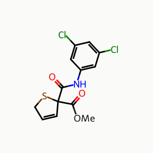 COC(=O)C1(C(=O)Nc2cc(Cl)cc(Cl)c2)C=CCS1